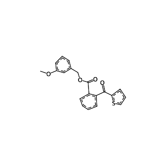 COc1cccc(COC(=O)c2ccccc2C(=O)c2cccs2)c1